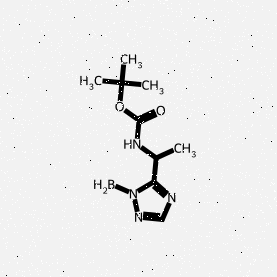 Bn1ncnc1C(C)NC(=O)OC(C)(C)C